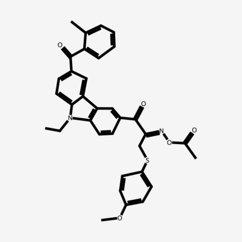 CCn1c2ccc(C(=O)/C(CSc3ccc(OC)cc3)=N/OC(C)=O)cc2c2cc(C(=O)c3ccccc3C)ccc21